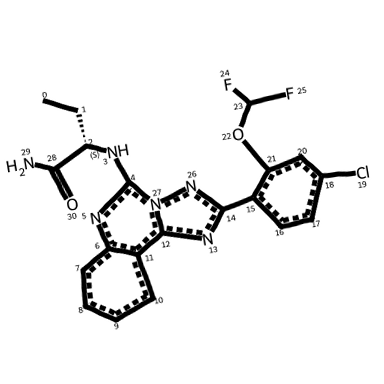 CC[C@H](Nc1nc2ccccc2c2nc(-c3ccc(Cl)cc3OC(F)F)nn12)C(N)=O